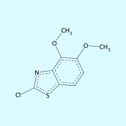 COc1ccc2sc(Cl)nc2c1OC